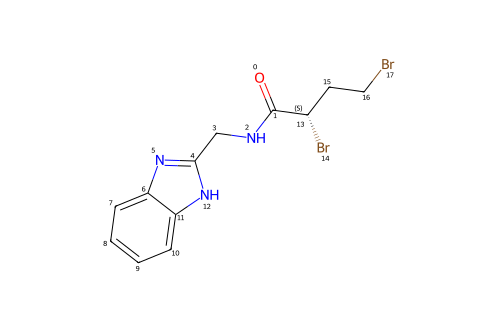 O=C(NCc1nc2ccccc2[nH]1)[C@@H](Br)CCBr